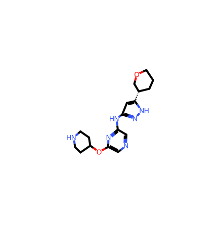 c1ncc(OC2CCNCC2)nc1Nc1cc([C@H]2CCCOC2)[nH]n1